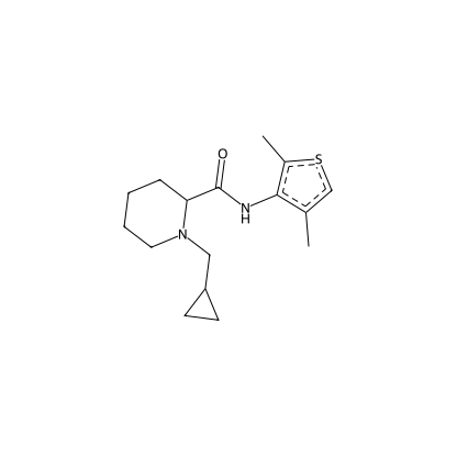 Cc1csc(C)c1NC(=O)C1CCCCN1CC1CC1